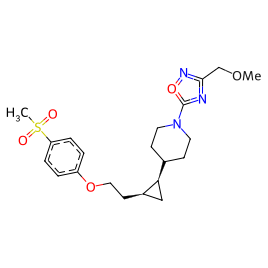 COCc1noc(N2CCC([C@H]3C[C@H]3CCOc3ccc(S(C)(=O)=O)cc3)CC2)n1